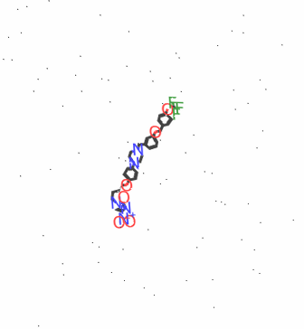 O=[N+]([O-])c1cn2c(n1)O[C@@H](COc1ccc(N3CCN(Cc4cccc(OCc5ccc(OC(F)(F)F)cc5)c4)CC3)cc1)CC2